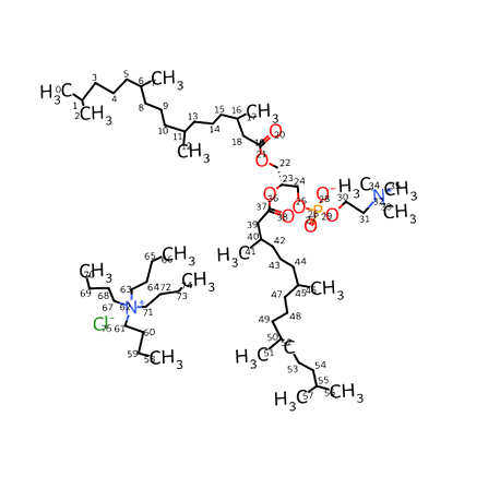 CC(C)CCCC(C)CCCC(C)CCCC(C)CC(=O)OC[C@H](COP(=O)([O-])OCC[N+](C)(C)C)OC(=O)CC(C)CCCC(C)CCCC(C)CCCC(C)C.CCCC[N+](CCCC)(CCCC)CCCC.[Cl-]